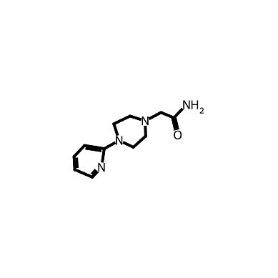 NC(=O)CN1CCN(c2ccccn2)CC1